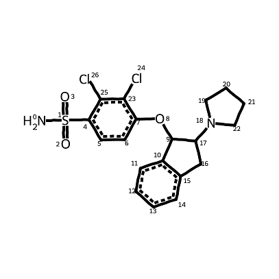 NS(=O)(=O)c1ccc(OC2c3ccccc3CC2N2CCCC2)c(Cl)c1Cl